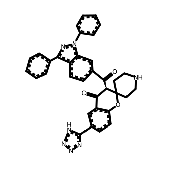 O=C(c1ccc2c(-c3ccccc3)nn(-c3ccccc3)c2c1)[C@@H]1C(=O)c2cc(-c3nnn[nH]3)ccc2OC12CCNCC2